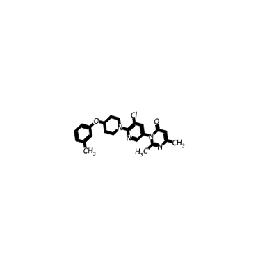 Cc1cccc(OC2CCN(c3ncc(-n4c(C)nc(C)cc4=O)cc3Cl)CC2)c1